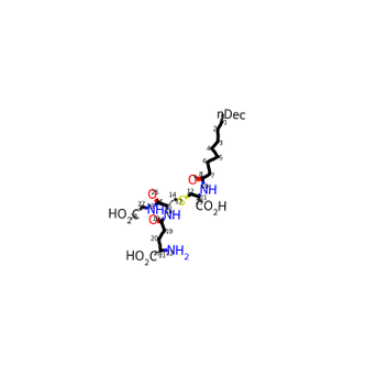 CCCCCCCCCCCCCCCCCC(=O)NC(CSC[C@H](NC(=O)CC[C@H](N)C(=O)O)C(=O)NCC(=O)O)C(=O)O